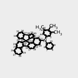 Cc1cc(N(c2ccccc2)c2ccc3c4c(ccc3c2)-c2c(ccc3ccccc23)C42c3ccccc3-c3ccccc32)cc(C)c1C